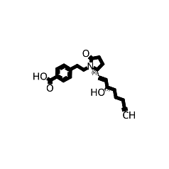 C#CCCC[C@H](O)C=C[C@H]1CCC(=O)N1CCc1ccc(C(=O)O)cc1